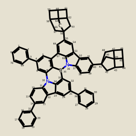 c1ccc(-c2cc3c4c(c2)-n2c5ccc(-c6ccccc6)cc5c5cc(-c6ccccc6)cc(c52)B4n2c4ccc(C56CC7CC8CC(C5)C87C6)cc4c4cc(C56CC7CC8CC(C5)C87C6)cc-3c42)cc1